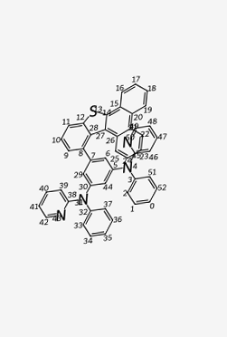 c1ccc(N(c2cc(-c3cccc4sc5c6ccccc6c6ccccc6c5c34)cc(N(c3ccccc3)c3ccccn3)c2)c2ccccn2)cc1